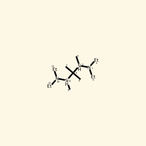 CCN(CC)[SiH](C)C(C)(C)[SiH](C)N(CC)CC